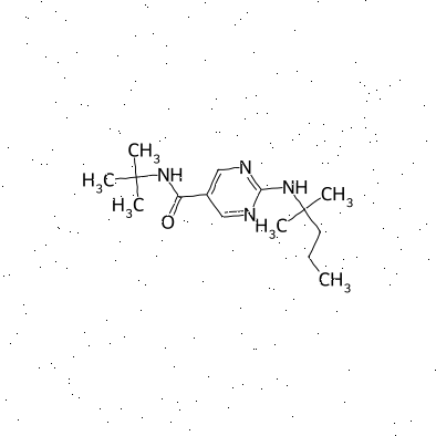 CCCC(C)(C)Nc1ncc(C(=O)NC(C)(C)C)cn1